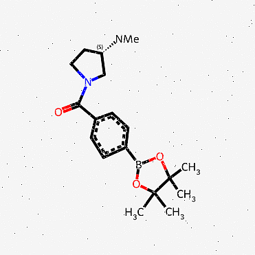 CN[C@H]1CCN(C(=O)c2ccc(B3OC(C)(C)C(C)(C)O3)cc2)C1